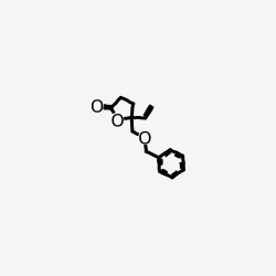 C=CC1(COCc2ccccc2)CCC(=O)O1